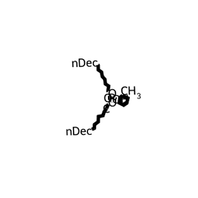 CCCCCCCCCCCCCCCCCCOP(=O)(O)OCCCCCCCCCCCCCCCCCC.Cc1ccccc1